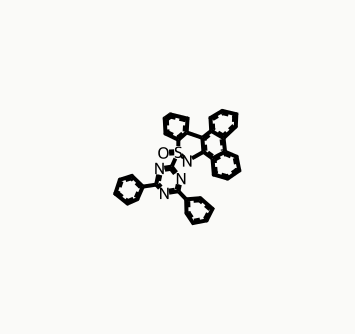 O=S1(c2nc(-c3ccccc3)nc(-c3ccccc3)n2)=Nc2c(c3ccccc3c3ccccc23)-c2ccccc21